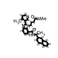 CNC(=O)CCCn1c(-c2cnccc2C)nc2cccc(C(=O)N[C@@H](C)c3ccc4ccccc4c3)c21